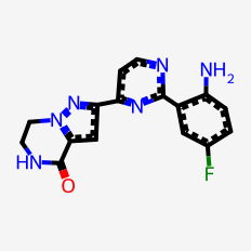 Nc1ccc(F)cc1-c1nccc(-c2cc3n(n2)CCNC3=O)n1